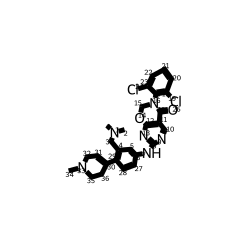 CN(C)Cc1cc(Nc2ncc3c(n2)OCN(c2c(Cl)cccc2Cl)C3=O)ccc1C1=CCN(C)CC1